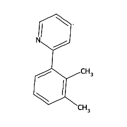 Cc1cccc(-c2c[c]ccn2)c1C